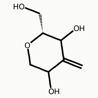 C=C1C(O)CO[C@H](CO)C1O